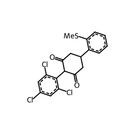 CSc1ccccc1C1CC(=O)C(c2c(Cl)cc(Cl)cc2Cl)C(=O)C1